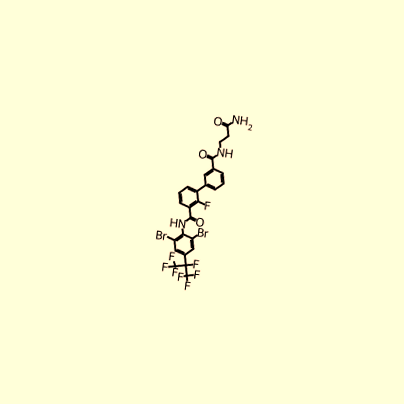 NC(=O)CCNC(=O)c1cccc(-c2cccc(C(=O)Nc3c(Br)cc(C(F)(C(F)(F)F)C(F)(F)F)cc3Br)c2F)c1